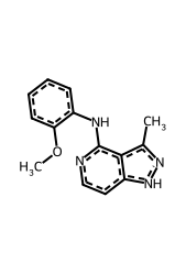 COc1ccccc1Nc1nccc2[nH]nc(C)c12